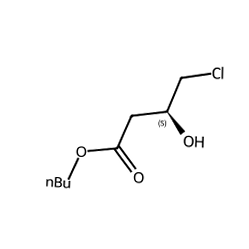 CCCCOC(=O)C[C@H](O)CCl